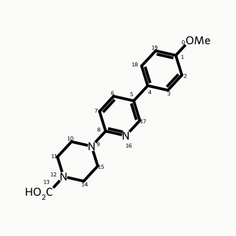 COc1ccc(-c2ccc(N3CCN(C(=O)O)CC3)nc2)cc1